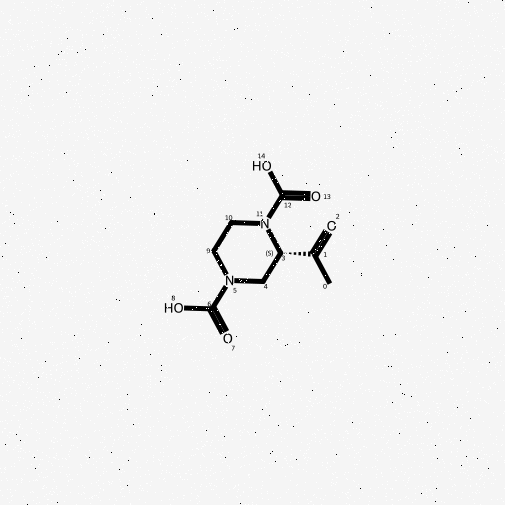 CC(=O)[C@@H]1CN(C(=O)O)CCN1C(=O)O